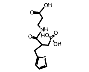 O=C(O)CCNC(=O)C(Cc1cccs1)CP(=O)(O)O